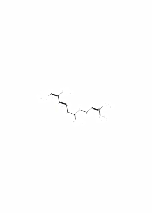 C/C=C(C)\C=C\CC(C)CCC=C(C)C